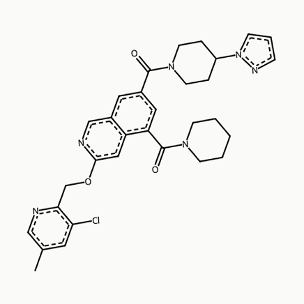 Cc1cnc(COc2cc3c(C(=O)N4CCCCC4)cc(C(=O)N4CCC(n5cccn5)CC4)cc3cn2)c(Cl)c1